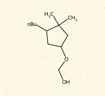 CCCCC1CC(OCO)CC1(C)C